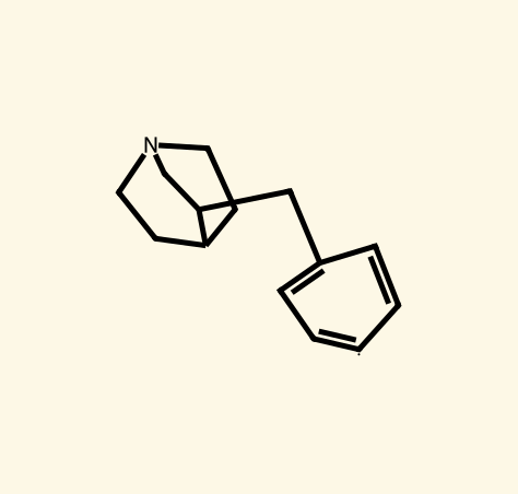 [c]1ccc(CC2CN3CCC2CC3)cc1